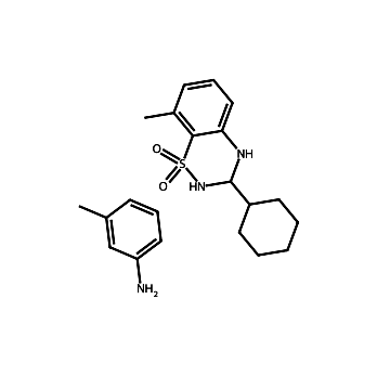 Cc1cccc(N)c1.Cc1cccc2c1S(=O)(=O)NC(C1CCCCC1)N2